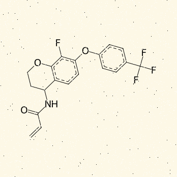 C=CC(=O)NC1CCOc2c1ccc(Oc1ccc(C(F)(F)F)cc1)c2F